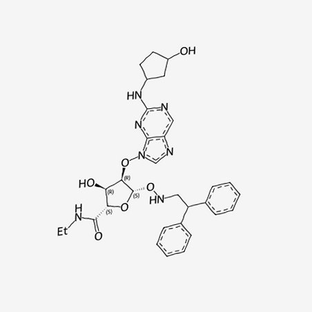 CCNC(=O)[C@H]1O[C@@H](ONCC(c2ccccc2)c2ccccc2)[C@H](On2cnc3cnc(NC4CCC(O)C4)nc32)[C@@H]1O